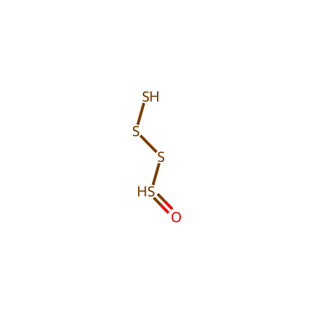 O=[SH]SSS